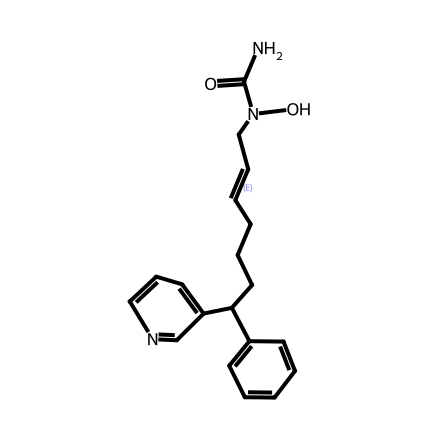 NC(=O)N(O)C/C=C/CCCC(c1ccccc1)c1cccnc1